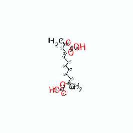 C=C(CCCCCCCCC(=C)OC(=O)O)OC(=O)O